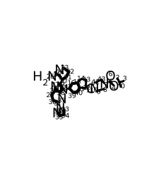 CC(C)(C)OC(=O)N1CCN(CC2CCc3cc(-n4c(-c5cccnc5N)nc5ccc(-n6cccn6)nc54)ccc32)CC1